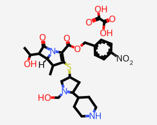 CC(O)C1C(=O)N2C(C(=O)OCc3ccc([N+](=O)[O-])cc3)=C(SC3CC(C4CCNCC4)N(CO)C3)C(C)[C@@H]12.O=C(O)C(=O)O